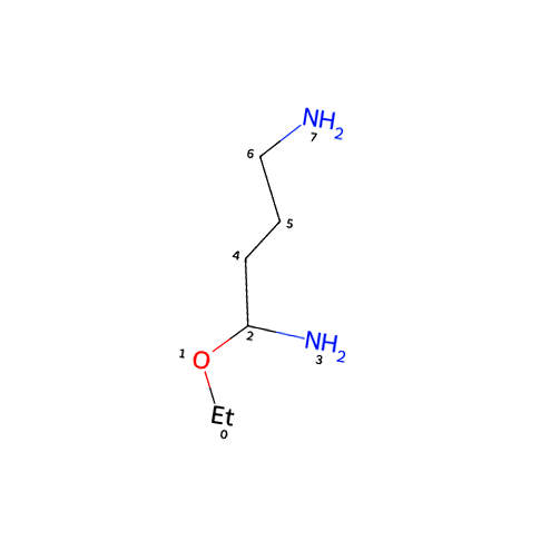 CCOC(N)CCCN